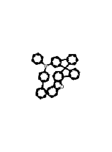 c1ccc(-c2ccc(N(c3ccccc3)c3ccc4c(c3)C3(c5ccccc5-4)c4ccccc4-c4c3ccc3c4oc4ccccc43)cc2)cc1